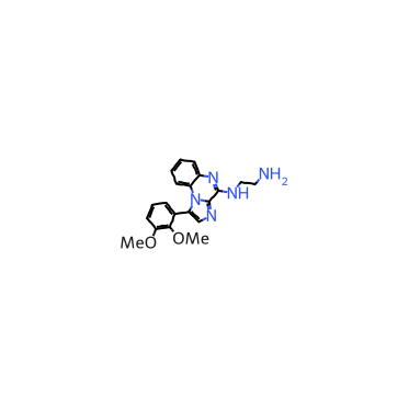 COc1cccc(-c2cnc3c(NCCN)nc4ccccc4n23)c1OC